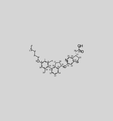 CSCCCOc1cc(C)c(-c2cccc3c2CCC3Oc2cc3c(cn2)[C@H](CC(=O)O)CS3)c(C)c1